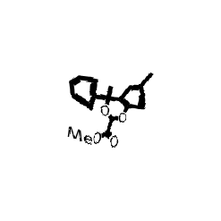 COC(=O)C1Oc2ccc(C)cc2C(C)(c2ccccc2)O1